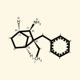 CC[C@@]1(Cc2ccccc2)[C@H]2CC[C@H](C2)[C@H]1N